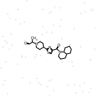 CC(C=O)N1CCC(c2nc(C(=O)N3CCCC4CCCCC43)cs2)CC1